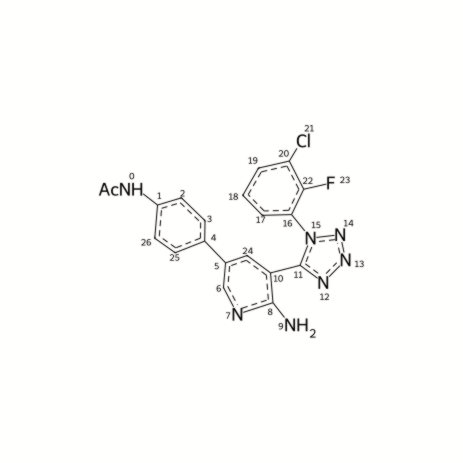 CC(=O)Nc1ccc(-c2cnc(N)c(-c3nnnn3-c3cccc(Cl)c3F)c2)cc1